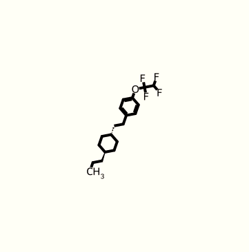 CCC[C@H]1CC[C@H](CCc2ccc(OC(F)(F)C(F)F)cc2)CC1